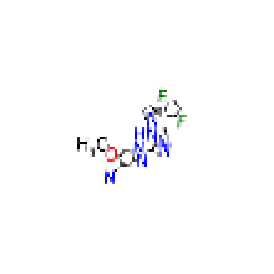 CCOc1cc2[nH]c(-c3cnn4ccc(N5CCC[C@@H]5c5cc(F)ccc5F)nc34)nc2cc1C#N